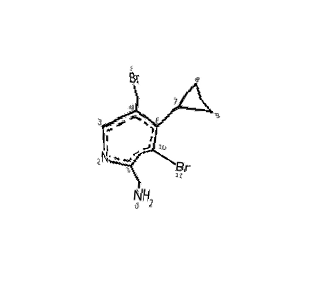 Nc1ncc(Br)c(C2CC2)c1Br